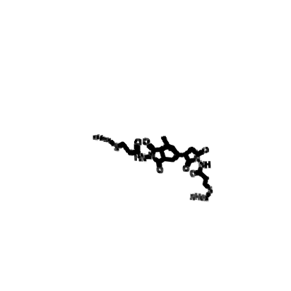 CCCCCCSCCC(=O)NN1C(=O)CC(C2C=C(C)C3C(=O)N(NC(=O)CCSCCCCCC)C(=O)C3C2)C1=O